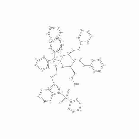 CC(C)(C)OC[C@H]1O[C@@](OCCc2cn(S(=O)(=O)c3ccccc3)c3ccccc23)([SiH](c2ccccc2)c2ccccc2)[C@H](OCc2ccccc2)[C@@H](OCc2ccccc2)[C@@H]1OCc1ccccc1